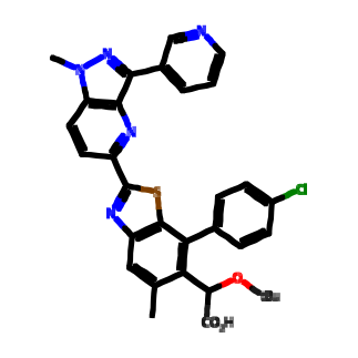 Cc1cc2nc(-c3ccc4c(n3)c(-c3cccnc3)nn4C)sc2c(-c2ccc(Cl)cc2)c1C(OC(C)(C)C)C(=O)O